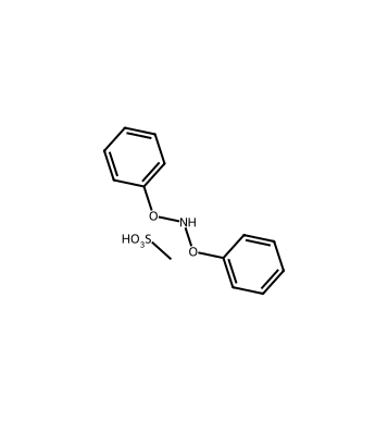 CS(=O)(=O)O.c1ccc(ONOc2ccccc2)cc1